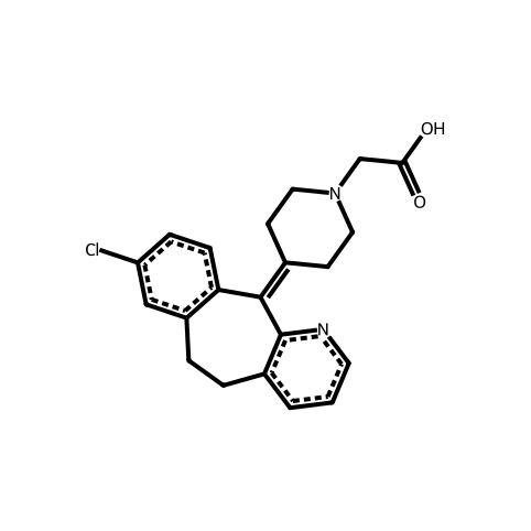 O=C(O)CN1CCC(=C2c3ccc(Cl)cc3CCc3cccnc32)CC1